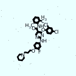 Cc1cccc(C)c1NC(=O)c1cnc(Nc2ccc(OCCCN3CCCCC3)c(F)c2)nc1Oc1ccc(Cl)cc1Cl